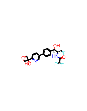 O=C(N[C@H](CF)[C@@H](O)c1ccc(-c2ccc(C3(O)COC3)nc2)cc1)C(F)F